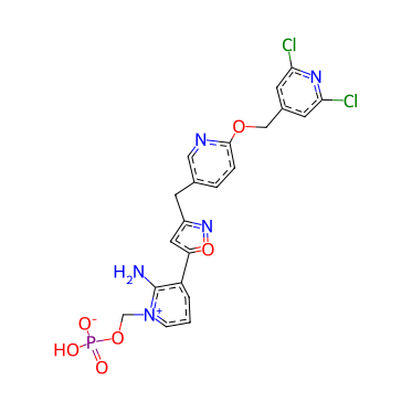 Nc1c(-c2cc(Cc3ccc(OCc4cc(Cl)nc(Cl)c4)nc3)no2)ccc[n+]1COP(=O)([O-])O